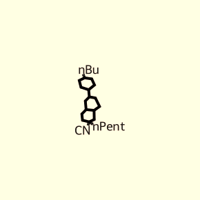 CCCCCC1(C#N)CCC2CC(C3CCC(CCCC)CC3)CCC2C1